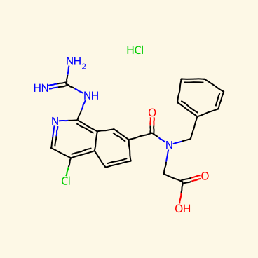 Cl.N=C(N)Nc1ncc(Cl)c2ccc(C(=O)N(CC(=O)O)Cc3ccccc3)cc12